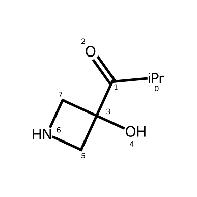 CC(C)C(=O)C1(O)CNC1